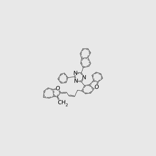 C=c1/c(=C\C=C/Cc2ccc3oc4ccccc4c3c2-c2nc(-c3ccccc3)nc(-c3ccc4ccccc4c3)n2)oc2ccccc12